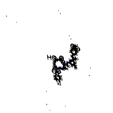 C/C(=C\c1cc(F)cc(N(C)CC2CCN(S(C)(=O)=O)CC2)c1)[C@H]1OC(=O)C[C@H](O)CC[C@H](C)[C@@H](OC(=O)N2CCN(C)CC2)/C=C/[C@@H]1C